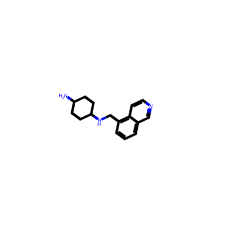 NC1CCC(NCc2cccc3cnccc23)CC1